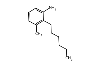 CCCCCCc1c(C)cccc1N